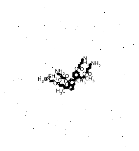 C[C@H](CCC(=O)OCCN(C)C)[C@H]1CCC2C[C@@H]([C@@]3(C)CC[C@@H](OC(=O)CCCN)CC3C[C@H](C)OC(=O)CCCN)C[C@H](OC(=O)CCCN)[C@@]21C